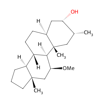 CO[C@H]1C[C@]2(C)CCC[C@H]2[C@@H]2CC[C@H]3C[C@H](O)[C@H](C)C[C@]3(C)[C@H]21